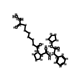 O=C(CCCCCCC(=O)N1CCCC1C(=O)N[C@H](C(=O)OC1CCCC1)c1ccccc1)NO